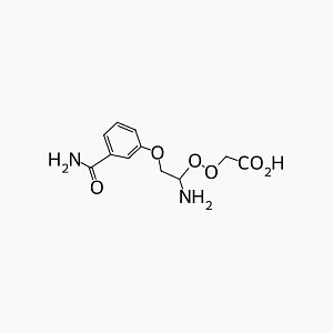 NC(=O)c1cccc(OCC(N)OOCC(=O)O)c1